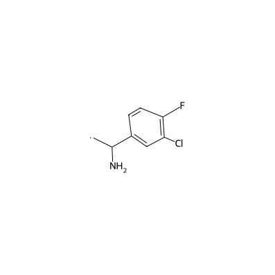 [CH2]C(N)c1ccc(F)c(Cl)c1